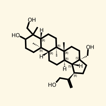 C=C(CO)[C@@H]1CC[C@]2(CO)CC[C@]3(C)[C@H](CC[C@@H]4[C@@]5(C)CCC(O)C(C)(CO)[C@@H]5CC[C@]43C)[C@@H]12